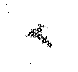 NC(=O)[C@H]1CC[C@@H](n2c(Nc3c(Cl)cc(Cl)cc3Cl)nc3cnc(N[C@@H]4CCCN(Cc5ccccc5)C4)nc32)CC1